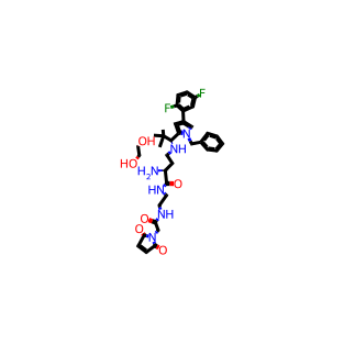 CC(C)(C)[C@@H](NCC[C@H](N)C(=O)NCCNC(=O)CN1C(=O)C=CC1=O)c1cc(-c2cc(F)ccc2F)cn1Cc1ccccc1.OCCO